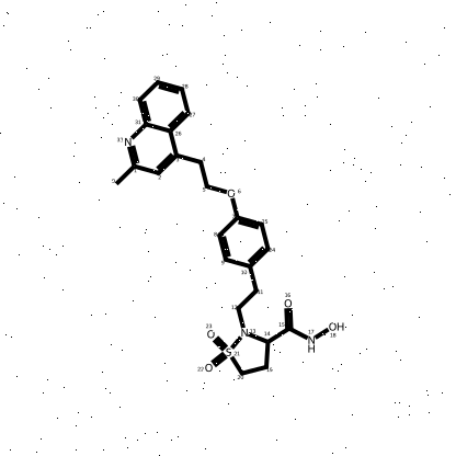 Cc1cc(CCOc2ccc(CCN3C(C(=O)NO)CCS3(=O)=O)cc2)c2ccccc2n1